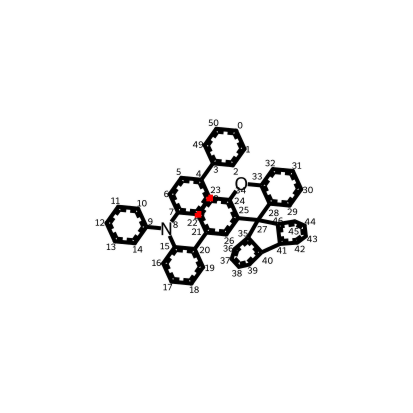 c1ccc(-c2ccc(N(c3ccccc3)c3ccccc3-c3ccc4c(c3)C3(c5ccccc5O4)c4ccccc4-c4ccccc43)cc2)cc1